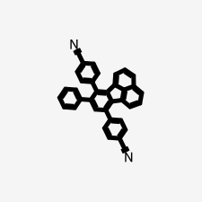 N#Cc1ccc(-c2cc(-c3ccccc3)c(-c3ccc(C#N)cc3)c3c2-c2cccc4cccc-3c24)cc1